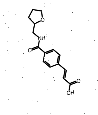 O=C(O)/C=C/c1ccc(C(=O)NCC2CCCO2)cc1